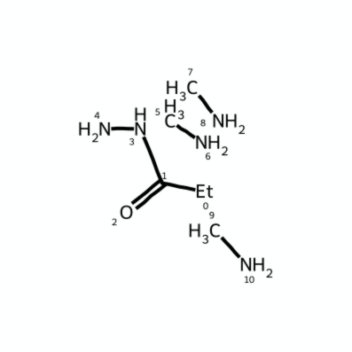 CCC(=O)NN.CN.CN.CN